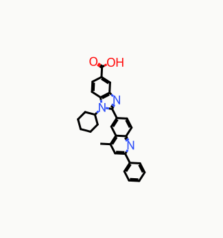 Cc1cc(-c2ccccc2)nc2ccc(-c3nc4cc(C(=O)O)ccc4n3C3CCCCC3)cc12